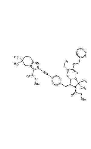 CCCCOC(=O)c1c(C#Cc2ccc(C[C@H]3[C@@H](CN(CC(C)C)C(=O)OCc4ccccc4)OC(C)(C)N3C(=O)OC(C)(C)C)cc2)sc2c1CC(C)(C)CC2